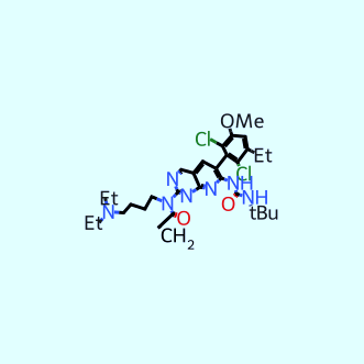 C=CC(=O)N(CCCCN(CC)CC)c1ncc2cc(-c3c(Cl)c(CC)cc(OC)c3Cl)c(NC(=O)NC(C)(C)C)nc2n1